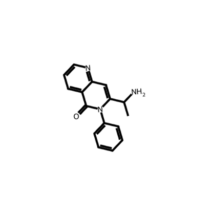 CC(N)c1cc2ncccc2c(=O)n1-c1ccccc1